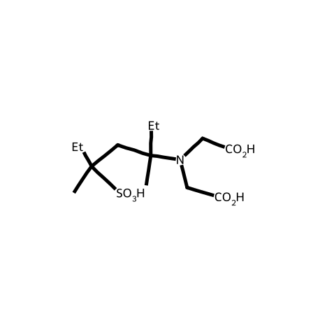 CCC(C)(CC(C)(CC)S(=O)(=O)O)N(CC(=O)O)CC(=O)O